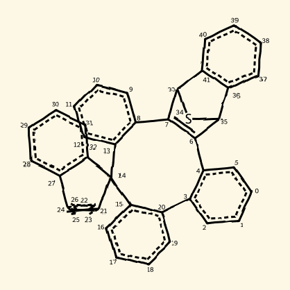 c1ccc2c(c1)C1=C(c3ccccc3C3(c4ccccc4-2)c2ccccc2-c2ccccc23)C2SC1c1ccccc12